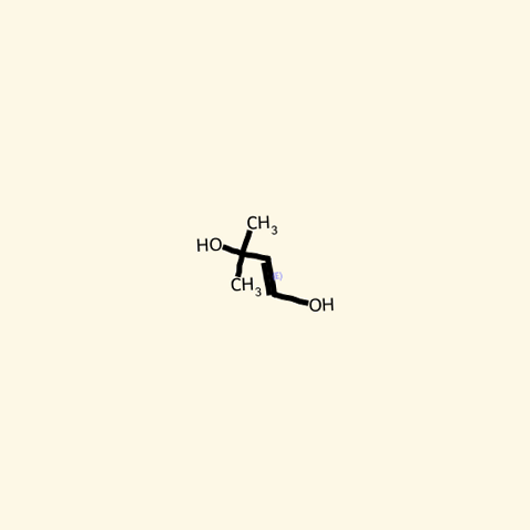 CC(C)(O)/C=C/O